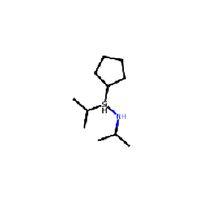 CC(C)N[SiH](C(C)C)C1CCCC1